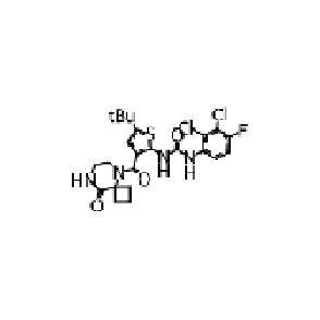 CC(C)(C)c1cc(C(=O)N2CCNC(=O)C23CCC3)c(NC(=O)Nc2ccc(F)c(Cl)c2Cl)s1